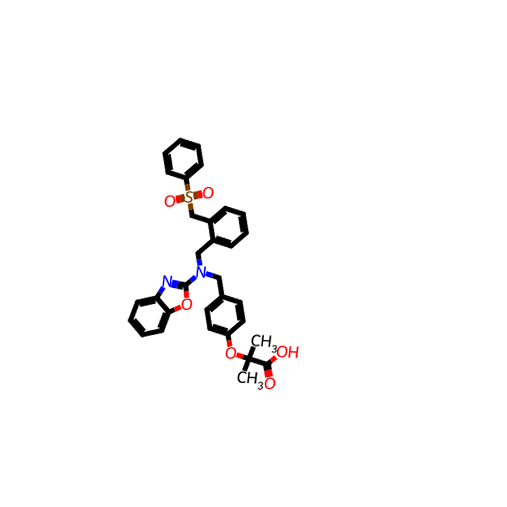 CC(C)(Oc1ccc(CN(Cc2ccccc2CS(=O)(=O)c2ccccc2)c2nc3ccccc3o2)cc1)C(=O)O